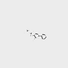 CC(C)(C)OC(=O)Nc1ccc(-c2ccccc2)nc1Br